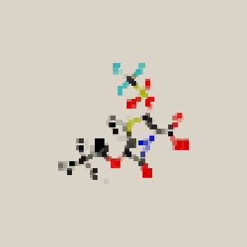 CC[C@]12SC(OS(=O)(=O)C(F)(F)F)=C(C(=O)O)N1C(=O)C2O[SiH2]C(C)(C)C